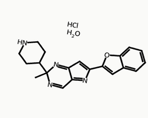 CC1(C2CCNCC2)N=CC2=NC(c3cc4ccccc4o3)=CC2=N1.Cl.O